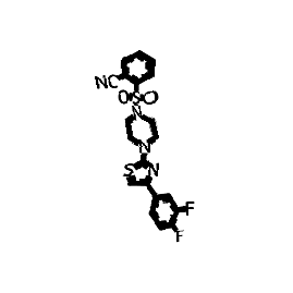 N#Cc1ccccc1S(=O)(=O)N1CCN(c2nc(-c3ccc(F)c(F)c3)cs2)CC1